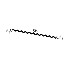 CCCCCCCCCCCCC(S)CCCCCCCCCCC